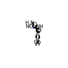 CC(C)OC(=O)N1CCN(c2cnc3[nH]cc(/C=C(/C#N)C(N)=O)c3c2)CC1